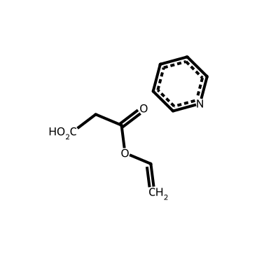 C=COC(=O)CC(=O)O.c1ccncc1